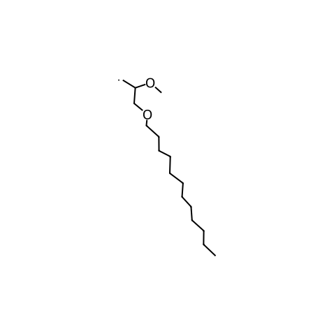 [CH2]C(COCCCCCCCCCCCC)OC